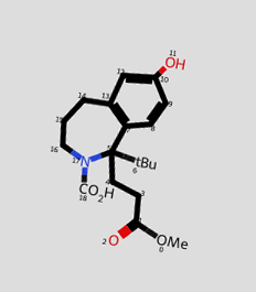 COC(=O)CCC1(C(C)(C)C)c2ccc(O)cc2CCCN1C(=O)O